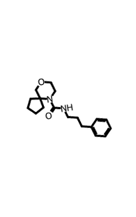 O=C(NCCCc1ccccc1)N1CCOCC12CCCC2